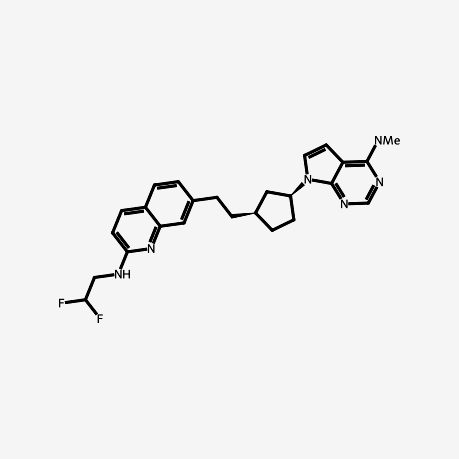 CNc1ncnc2c1ccn2[C@H]1CC[C@@H](CCc2ccc3ccc(NCC(F)F)nc3c2)C1